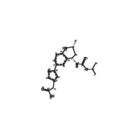 CC(C)OC(=O)N[C@H]1C[C@@H](C)Nc2ccc(-c3cn(CC(=O)O)cn3)cc21